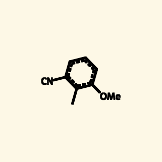 [C-]#[N+]c1cccc(OC)c1C